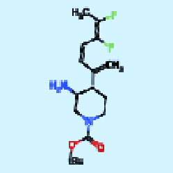 C=C(/C=C\C(F)=C(/C)F)[C@@H]1CCN(C(=O)OC(C)(C)C)C[C@H]1N